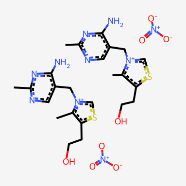 Cc1ncc(C[n+]2csc(CCO)c2C)c(N)n1.Cc1ncc(C[n+]2csc(CCO)c2C)c(N)n1.O=[N+]([O-])[O-].O=[N+]([O-])[O-]